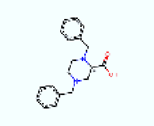 O=C(O)[C@H]1CN(Cc2ccccc2)CCN1Cc1ccccc1